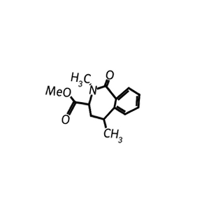 COC(=O)C1CC(C)c2ccccc2C(=O)N1C